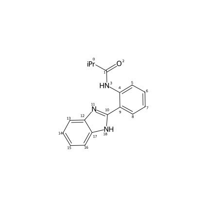 CC(C)C(=O)Nc1ccccc1-c1nc2ccccc2[nH]1